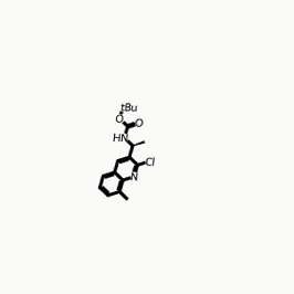 Cc1cccc2cc([C@H](C)NC(=O)OC(C)(C)C)c(Cl)nc12